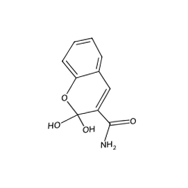 NC(=O)C1=Cc2ccccc2OC1(O)O